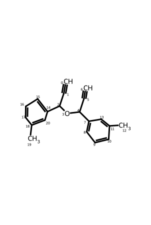 C#CC(OC(C#C)c1cccc(C)c1)c1cccc(C)c1